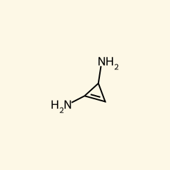 NC1=CC1N